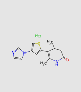 CC1=C(c2cc(-n3ccnc3)cs2)C(C)CC(=O)N1.Cl